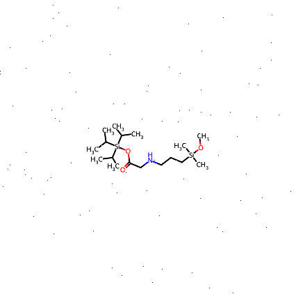 CO[Si](C)(C)CCCNCC(=O)O[Si](C(C)C)(C(C)C)C(C)C